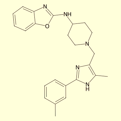 Cc1cccc(-c2nc(CN3CCC(Nc4nc5ccccc5o4)CC3)c(C)[nH]2)c1